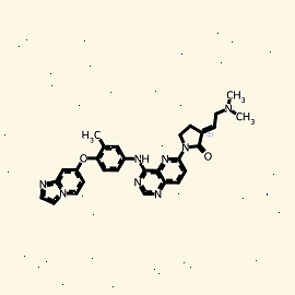 Cc1cc(Nc2ncnc3ccc(N4CC/C(=C\CN(C)C)C4=O)nc23)ccc1Oc1ccn2ccnc2c1